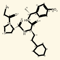 CC(C)CC(=O)N1CSC[C@H]1C(=O)N[C@H](CCC1CCCCC1)C(=S)N[C@H](C)c1ccc([N+](=O)[O-])cc1